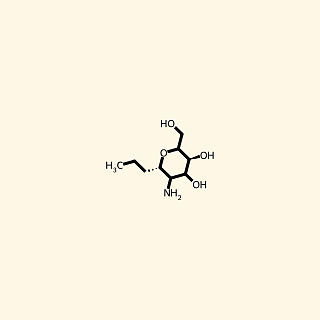 CCC[C@@H]1OC(CO)[C@@H](O)C(O)C1N